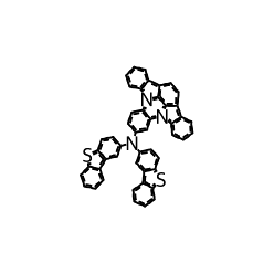 c1ccc2c(c1)sc1ccc(N(c3ccc4sc5ccccc5c4c3)c3ccc4c(c3)n3c5ccccc5c5ccc6c7ccccc7n4c6c53)cc12